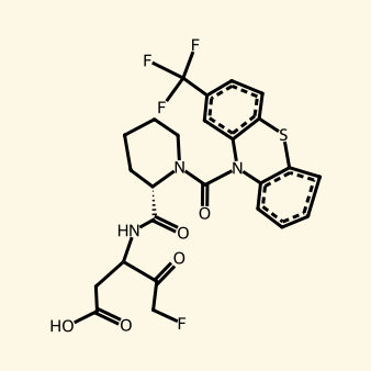 O=C(O)CC(NC(=O)[C@@H]1CCCCN1C(=O)N1c2ccccc2Sc2ccc(C(F)(F)F)cc21)C(=O)CF